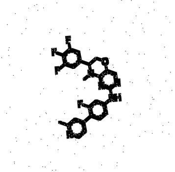 Cc1cc(-c2ccc(Nc3ncc4c(n3)N(C)C(c3cc(F)c(F)c(F)c3)CO4)cc2F)ccn1